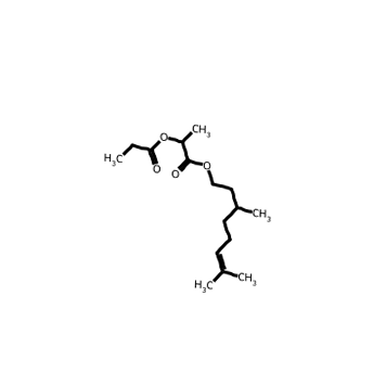 CCC(=O)OC(C)C(=O)OCCC(C)CCC=C(C)C